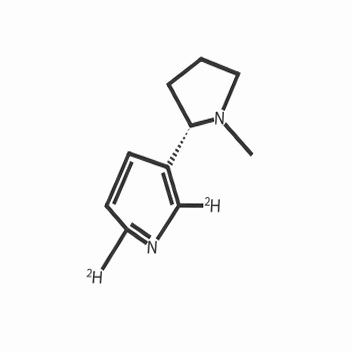 [2H]c1ccc([C@@H]2CCCN2C)c([2H])n1